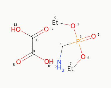 CCOP(=O)(CN)OCC.O=C(O)C(=O)O